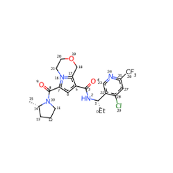 CC[C@H](NC(=O)c1cc(C(=O)N2CCC[C@@H]2C)n2c1COCC2)c1cnc(C(F)(F)F)cc1Cl